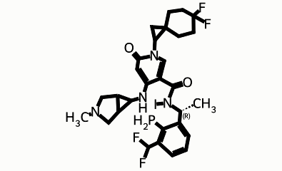 C[C@H](c1cccc(C(F)F)c1P)N(I)C(=O)c1cn(C2CC23CCC(F)(F)CC3)c(=O)cc1NC1C2CN(C)CC21